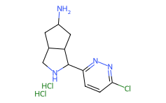 Cl.Cl.NC1CC2CNC(c3ccc(Cl)nn3)C2C1